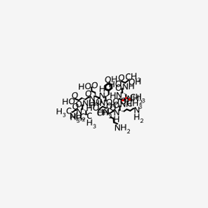 CC(C)C[C@H](NC(=O)[C@H](C)N)C(=O)N[C@@H](CCC(=O)O)C(=O)N[C@@H](CCC(=O)O)C(=O)N[C@@H](Cc1ccc(O)cc1)C(=O)N[C@H](C(=O)N[C@@H](CCCCN)C(=O)N[C@@H](CCCCN)C(=O)N[C@@H](CC(C)C)C(=O)N[C@@H](CC(N)=O)C(=O)N[C@H](C(=O)O)[C@@H](C)O)[C@@H](C)O